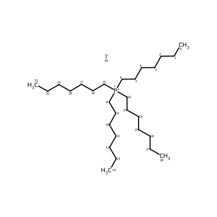 CCCCCCC[P+](CCCCCCC)(CCCCCCC)CCCCCCC.[I-]